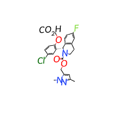 Cc1cc(COC(=O)N2CCc3cc(F)ccc3[C@H]2c2cc(Cl)ccc2OCC(=O)O)n(C)n1